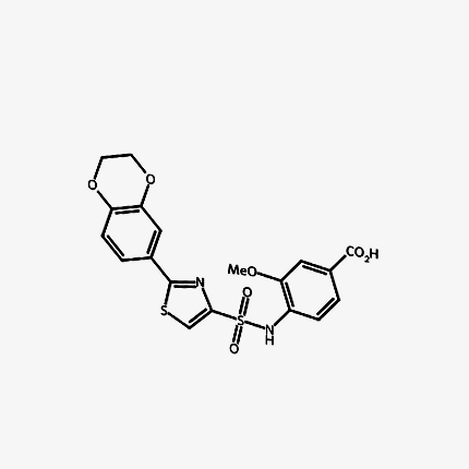 COc1cc(C(=O)O)ccc1NS(=O)(=O)c1csc(-c2ccc3c(c2)OCCO3)n1